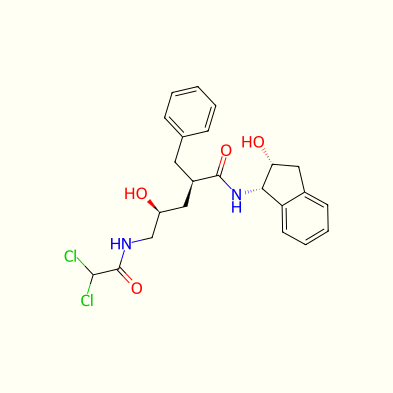 O=C(NC[C@@H](O)C[C@@H](Cc1ccccc1)C(=O)N[C@H]1c2ccccc2C[C@H]1O)C(Cl)Cl